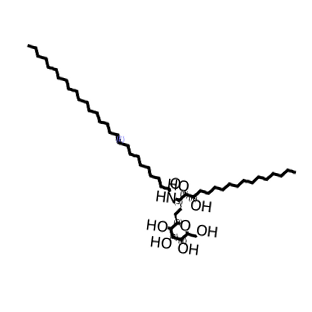 CCCCCCCCCCCCCCCCC/C=C/CCCCCCCCC(=O)N[C@@H](CC[C@H]1OC(CO)[C@H](O)[C@H](O)C1O)[C@H](O)[C@H](O)CCCCCCCCCCCCCC